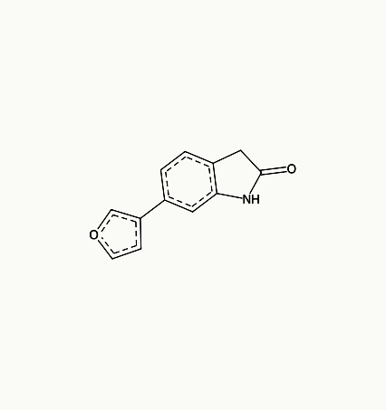 O=C1Cc2ccc(-c3ccoc3)cc2N1